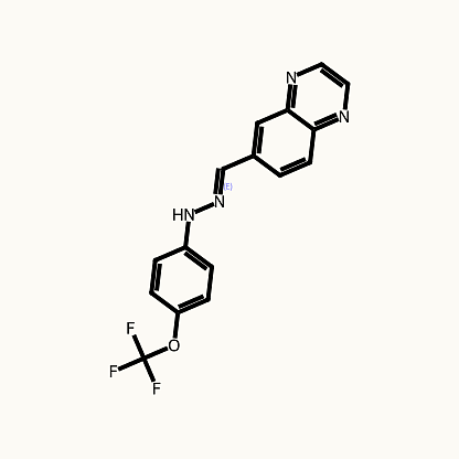 FC(F)(F)Oc1ccc(N/N=C/c2ccc3nccnc3c2)cc1